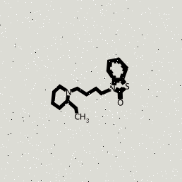 CCC1CCCCN1CCCCn1c(=O)sc2ccccc21